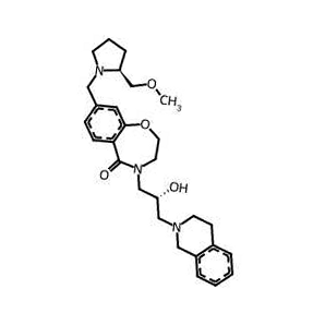 COC[C@@H]1CCCN1Cc1ccc2c(c1)OCCN(C[C@H](O)CN1CCc3ccccc3C1)C2=O